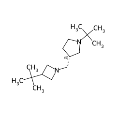 CC(C)(C)C1CN(C[C@@H]2CCN(C(C)(C)C)C2)C1